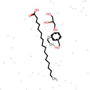 CCC.CCCCCCCCCCCCCCCCCC(=O)O.OCC(O)CO.OCc1ccccc1